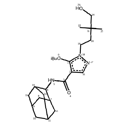 CC(C)COc1c(C(=O)NC2C3CC4CC(C3)CC2C4)cnn1CCC(C)(C)CO